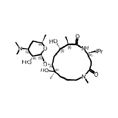 CC(C)[C@H]1CC(=O)N(C)CCC[C@@](C)(O)[C@H](O[C@@H]2O[C@H](C)C[C@H](N(C)C)[C@H]2O)C[C@H](O)[C@@H](C)C(=O)N1